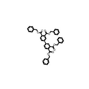 O=C(OCc1ccccc1)c1ccc(-c2ccc(C(=O)OCc3ccccc3)c(C(=O)OCc3ccccc3)c2)cc1C(=O)OCc1ccccc1